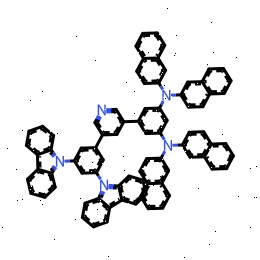 c1ccc2cc(N(c3cc(-c4cncc(-c5cc(-n6c7ccccc7c7ccccc76)cc(-n6c7ccccc7c7ccccc76)c5)c4)cc(N(c4ccc5ccccc5c4)c4ccc5ccccc5c4)c3)c3ccc4ccccc4c3)ccc2c1